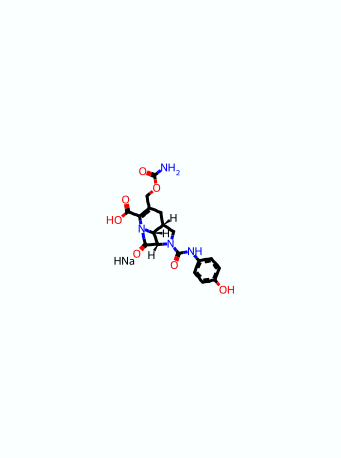 NC(=O)OCC1=C(C(=O)O)N2C(=O)[C@@H]3[C@H]2[C@H](C1)CN3C(=O)Nc1ccc(O)cc1.[NaH]